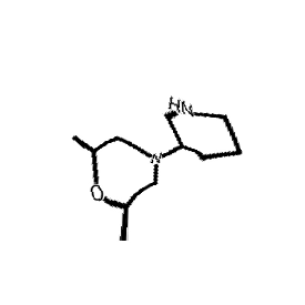 CC1CN(C2CCCNC2)CC(C)O1